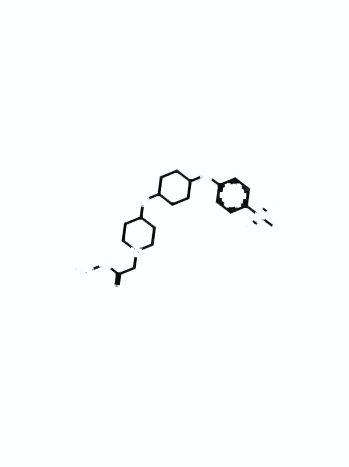 CC(C)(C)OC(=O)CN1CCC(OC2CCC(Oc3ccc(S(C)(=O)=O)cc3)CC2)CC1